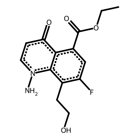 CCOC(=O)c1cc(F)c(CCO)c2c1c(=O)ccn2N